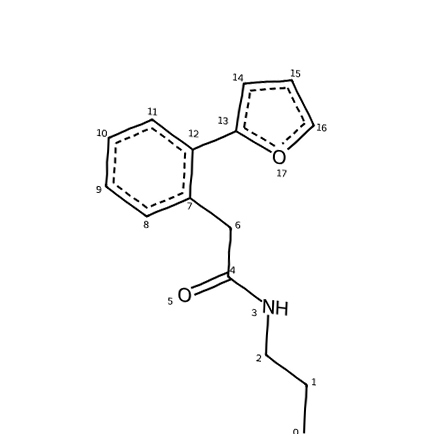 CCCNC(=O)Cc1ccccc1-c1ccco1